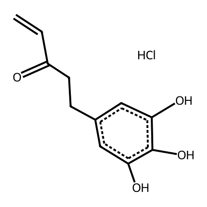 C=CC(=O)CCc1cc(O)c(O)c(O)c1.Cl